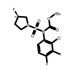 CC(C)(C)OC(=O)N(c1ccc(F)c(I)c1Cl)S(=O)(=O)N1CC[C@@H](F)C1